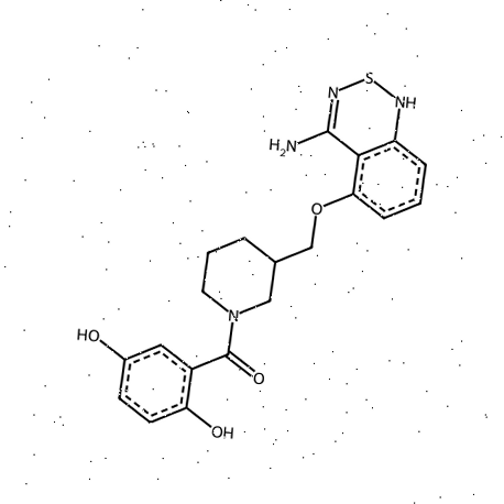 NC1=NSNc2cccc(OCC3CCCN(C(=O)c4cc(O)ccc4O)C3)c21